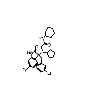 O=C(CN(C1CCCC1)C1(Cc2cccc(Cl)c2)C(=O)Nc2cc(Cl)ccc21)NC1CCCCC1